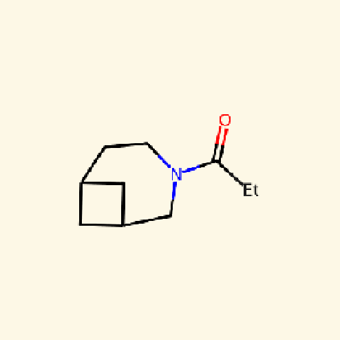 CCC(=O)N1CCC2CC(C2)C1